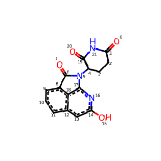 O=C1CCC(N2C(=O)c3cccc4cc(O)nc2c34)C(=O)N1